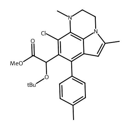 COC(=O)C(OC(C)(C)C)c1c(Cl)c2c3c(cc(C)n3CCN2C)c1-c1ccc(C)cc1